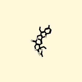 CCc1c2c(nc3ccc(C)cc13)-c1cc3c(c(=O)n1C2)COC(=O)C3(CC)OC(C)=O